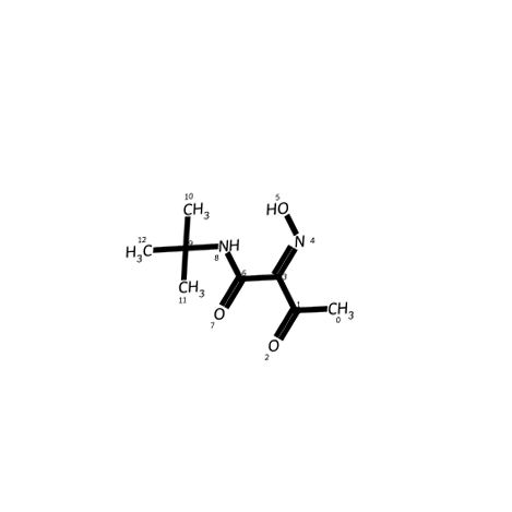 CC(=O)C(=NO)C(=O)NC(C)(C)C